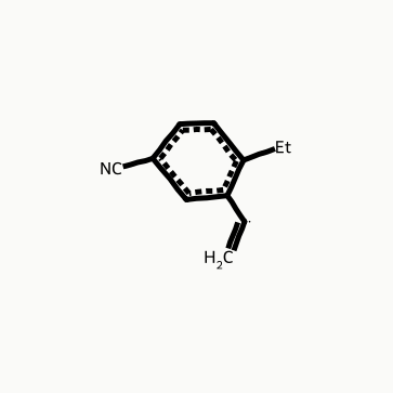 C=[C]c1cc(C#N)ccc1CC